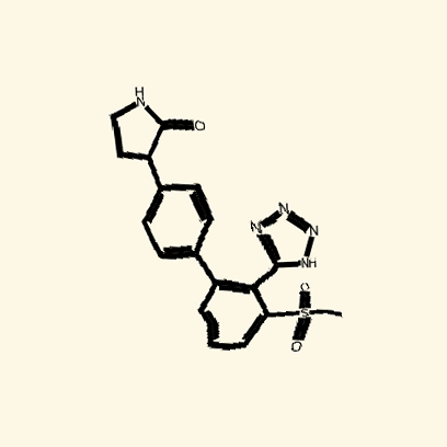 CS(=O)(=O)c1cccc(-c2ccc(C3CCNC3=O)cc2)c1-c1nnn[nH]1